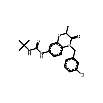 CC1Oc2cc(NC(=O)NC(C)(C)C)ccc2N(Cc2cccc(Cl)c2)C1=O